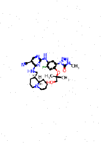 Cn1nnn(-c2cc(Nc3ncc(C#N)c(NC[C@@H]4CCCN5CCCC[C@H]45)n3)c(F)cc2OC(C)(C)CO)c1=O